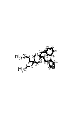 CCCC1(CCC)COC(CCn2ccnc2)(Cc2ccccc2)OC1